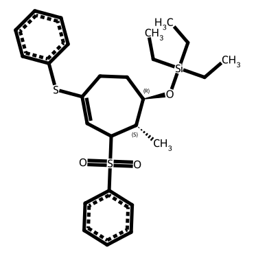 CC[Si](CC)(CC)O[C@@H]1CCC(Sc2ccccc2)=CC(S(=O)(=O)c2ccccc2)[C@H]1C